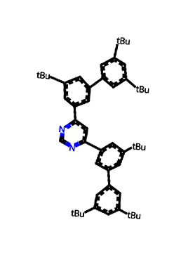 CC(C)(C)c1cc(-c2cc(C(C)(C)C)cc(C(C)(C)C)c2)cc(-c2cc(-c3cc(-c4cc(C(C)(C)C)cc(C(C)(C)C)c4)cc(C(C)(C)C)c3)ncn2)c1